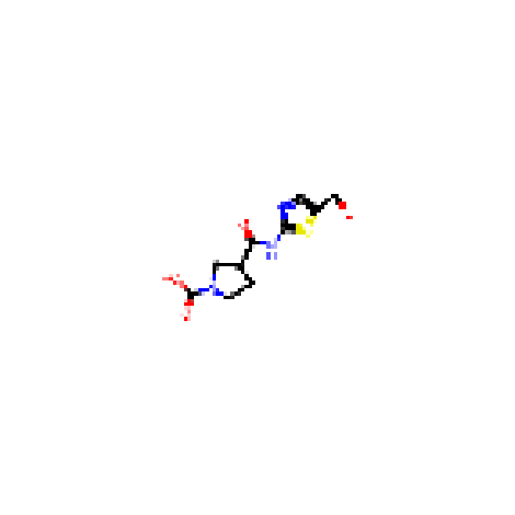 O=Cc1cnc(NC(=O)C2CCN(C(=O)O)C2)s1